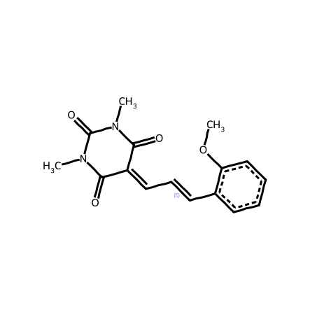 COc1ccccc1/C=C/C=C1C(=O)N(C)C(=O)N(C)C1=O